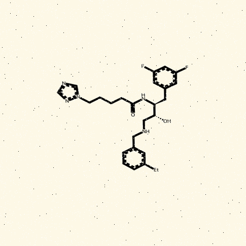 CCc1cccc(CNC[C@@H](O)[C@H](Cc2cc(F)cc(F)c2)NC(=O)CCCCn2cncn2)c1